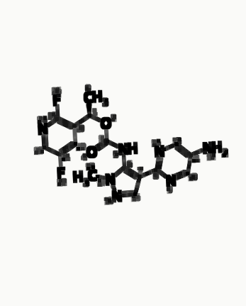 C[C@@H](OC(=O)Nc1c(-c2ncc(N)cn2)cnn1C)c1cc(F)cnc1F